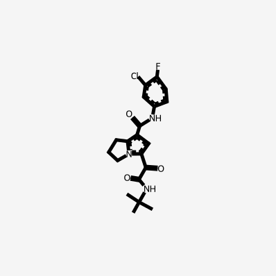 CC(C)(C)NC(=O)C(=O)c1cc(C(=O)Nc2ccc(F)c(Cl)c2)c2n1CCC2